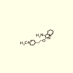 C[n+]1ccc(CCOc2nn3ccccc3c2N)cc1